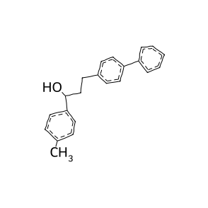 Cc1ccc(C(O)CCc2ccc(-c3ccccc3)cc2)cc1